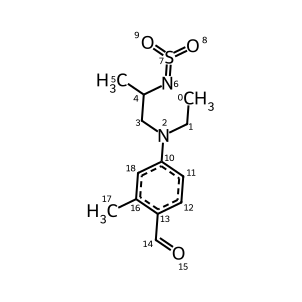 CCN(CC(C)N=S(=O)=O)c1ccc(C=O)c(C)c1